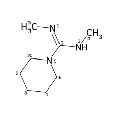 C/N=C(/NC)N1CCCCC1